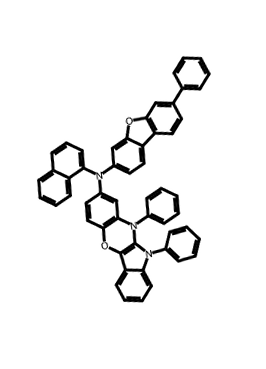 c1ccc(-c2ccc3c(c2)oc2cc(N(c4ccc5c(c4)N(c4ccccc4)c4c(c6ccccc6n4-c4ccccc4)O5)c4cccc5ccccc45)ccc23)cc1